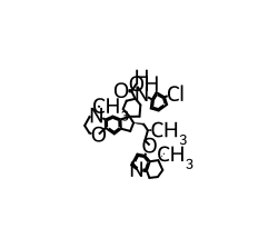 C[C@@H](COc1ccnc2c1[C@H](C)CCC2)C[C@H]1Cc2cc3c(cc2C12CCC(Nc1cccc(Cl)c1)(C(=O)O)CC2)N(C)CCCO3